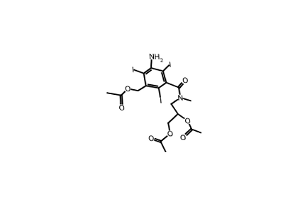 CC(=O)OCc1c(I)c(N)c(I)c(C(=O)N(C)CC(COC(C)=O)OC(C)=O)c1I